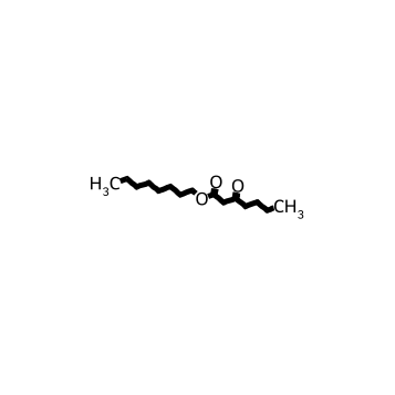 CCCCCCCCOC(=O)CC(=O)CCCC